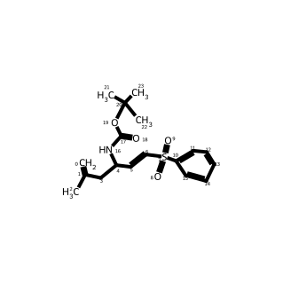 C=C(C)CC(/C=C/S(=O)(=O)c1ccccc1)NC(=O)OC(C)(C)C